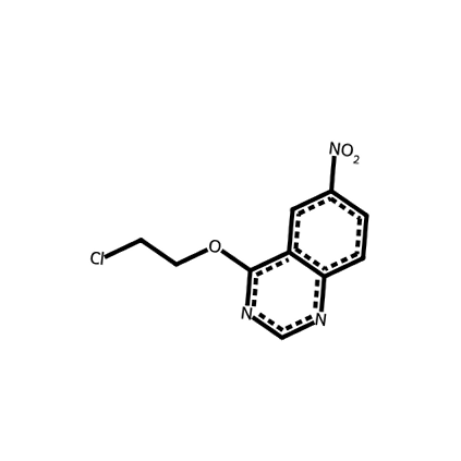 O=[N+]([O-])c1ccc2ncnc(OCCCl)c2c1